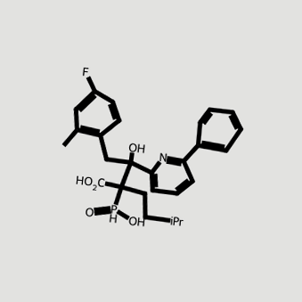 Cc1cc(F)ccc1CC(O)(c1cccc(-c2ccccc2)n1)C(CCC(C)C)(C(=O)O)[PH](=O)O